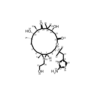 C[C@H]1CCC[C@]2(C)[C@H](C[C@@H](C(C)(C)Cc3csc(N)n3)OC(=O)C[C@H](O)C(C)(C)C(=O)[C@H](C)[C@H]1O)N2CCO